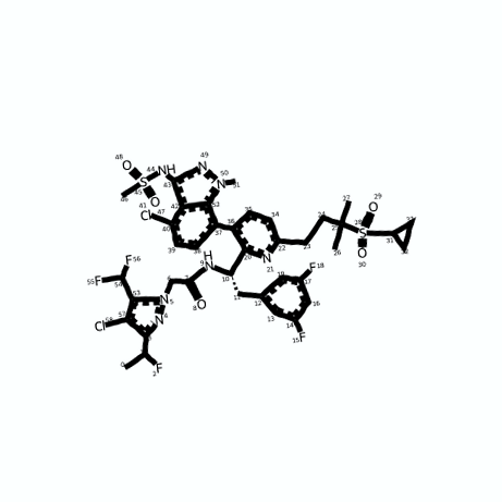 CC(F)c1nn(CC(=O)N[C@@H](Cc2cc(F)cc(F)c2)c2nc(CCC(C)(C)S(=O)(=O)C3CC3)ccc2-c2ccc(Cl)c3c(NS(C)(=O)=O)nn(C)c23)c(C(F)F)c1Cl